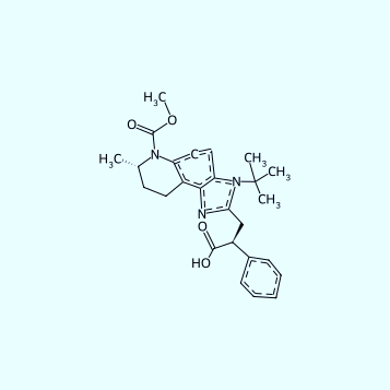 COC(=O)N1c2ccc3c(nc(C[C@H](C(=O)O)c4ccccc4)n3C(C)(C)C)c2CC[C@@H]1C